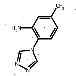 Nc1cc(C(F)(F)F)ccc1-n1cnnc1